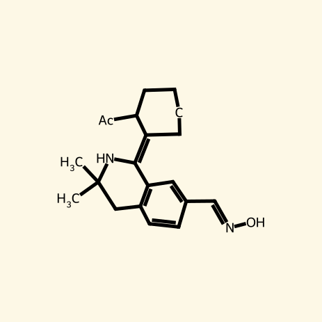 CC(=O)C1CCCCC1=C1NC(C)(C)Cc2ccc(C=NO)cc21